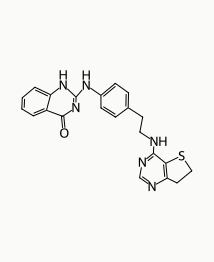 O=c1nc(Nc2ccc(CCNc3ncnc4c3SCC4)cc2)[nH]c2ccccc12